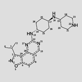 CC(C)c1noc2ccc3cnc(N[C@H]4CC[C@H](NC5CCNCC5)CC4)nc3c12